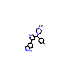 CN1CCN(C(c2ccc(F)cc2)c2cncc(-c3ccc4[nH]ncc4c3)c2)CC1